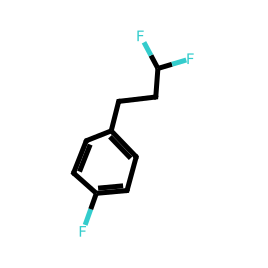 Fc1ccc(CCC(F)F)cc1